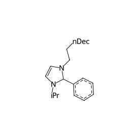 CCCCCCCCCCCCN1C=CN(C(C)C)C1c1ccccc1